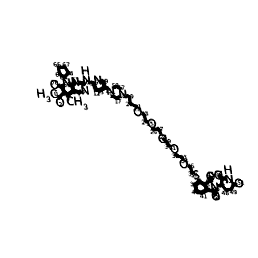 CC(=O)c1c(C)c2cnc(Nc3ccc(N4CCN(CCCOCCOCCOCCOCCOCCSc5cccc6c5C(=O)N(C5CCC(=O)NC5=O)C6=O)CC4)cn3)nc2n(C2CCCC2)c1=O